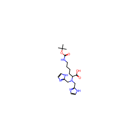 CC(C)(C)OC(=O)NCCCCC(C(=O)O)N(Cc1ncc[nH]1)Cc1ncc[nH]1